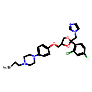 CC(=O)NCCN1CCN(c2ccc(OCC3COC(Cn4ccnc4)(c4ccc(Cl)cc4Cl)O3)cc2)CC1